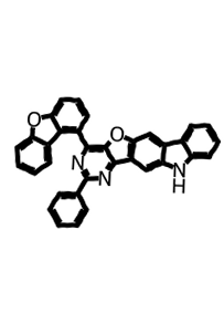 c1ccc(-c2nc(-c3cccc4oc5ccccc5c34)c3oc4cc5c(cc4c3n2)[nH]c2ccccc25)cc1